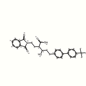 CC(C)(C)c1ccc(-c2ccc(CCC(O)C(CCN3C(=O)c4ccccc4C3=O)C(=O)O)cc2)cc1